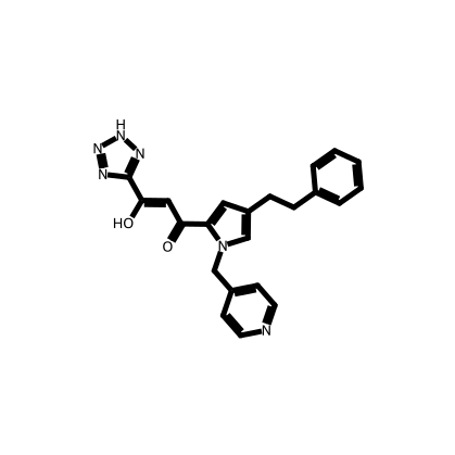 O=C(C=C(O)c1nn[nH]n1)c1cc(CCc2ccccc2)cn1Cc1ccncc1